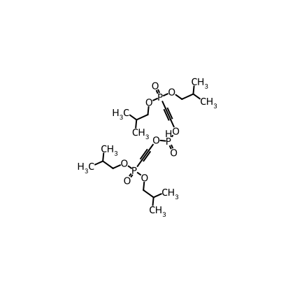 CC(C)COP(=O)(C#CO[PH](=O)OC#CP(=O)(OCC(C)C)OCC(C)C)OCC(C)C